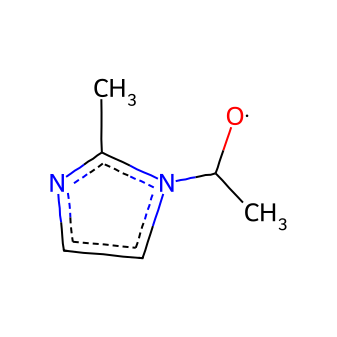 Cc1nccn1C(C)[O]